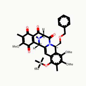 COC1=C(C)C(=O)C2=C(C1=O)[C@H]1C3=Cc4c(O[Si](C)(C)C(C)(C)C)c(C)c(OC)c(OC)c4[C@H](COCc4ccccc4)N3C(=O)[C@@H](C2=O)N1C